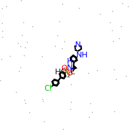 CN1CCC(Nc2cccc(C3CC3(NS(=O)(=O)c3ccc(-c4ccc(Cl)cc4)cc3)C(=O)O)c2)CC1